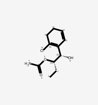 CC[C@H](OC(N)=O)[C@@H](O)C1=C(Cl)CCC=C1